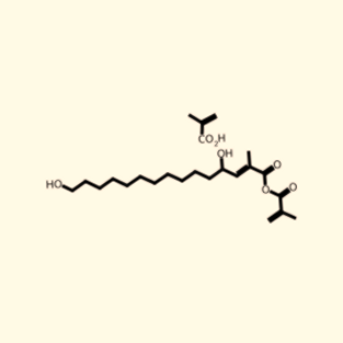 C=C(C)C(=O)O.C=C(C)C(=O)OC(=O)C(C)=CC(O)CCCCCCCCCCCO